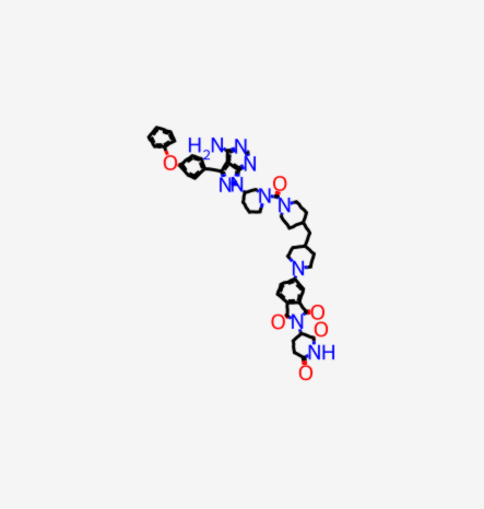 Nc1ncnc2c1c(-c1ccc(Oc3ccccc3)cc1)nn2[C@@H]1CCCN(C(=O)N2CCC(CC3CCN(c4ccc5c(c4)C(=O)N(C4CCC(=O)NC4=O)C5=O)CC3)CC2)C1